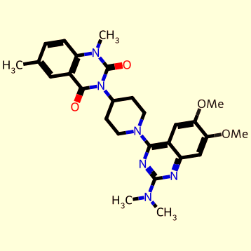 COc1cc2nc(N(C)C)nc(N3CCC(n4c(=O)c5cc(C)ccc5n(C)c4=O)CC3)c2cc1OC